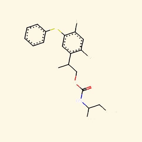 CCc1cc([N+](=O)[O-])c(C(C)COC(=O)NC(CC(=O)O)C(=O)O)cc1Sc1ccccc1